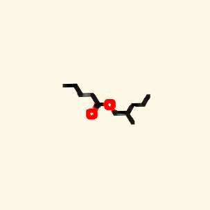 CCCCC(=O)OC=C(C)CCC